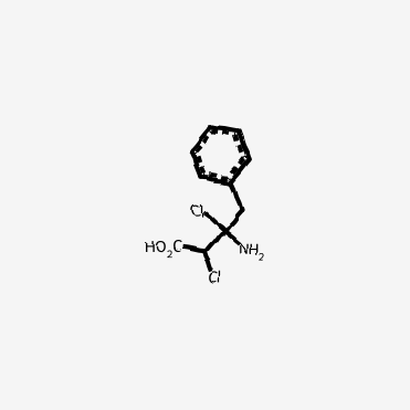 NC(Cl)(Cc1ccccc1)C(Cl)C(=O)O